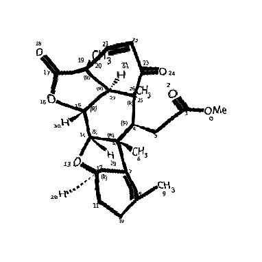 COC(=O)C[C@H]1[C@]2(C)C3=C(C)CC[C@H]3O[C@@H]2[C@@H]2OC(=O)[C@]3(C)C=CC(=O)[C@@]1(C)[C@@H]23